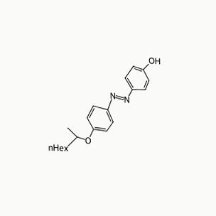 CCCCCCC(C)Oc1ccc(/N=N/c2ccc(O)cc2)cc1